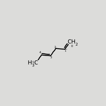 C=[C]CC=CC